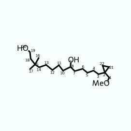 COCC1(CCCCCC(O)CCCCCC(C)(C)CCO)CC1